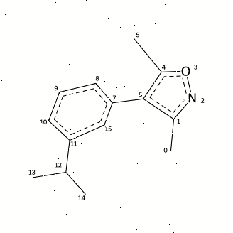 Cc1noc(C)c1-c1cccc(C(C)C)c1